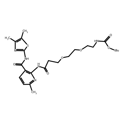 Cc1ccc(C(=O)Nc2nc(C)c(C)s2)c(NC(=O)CCOCCOCCNC(=O)OC(C)(C)C)n1